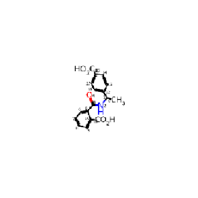 CC(NC(=O)c1ccccc1C(=O)O)c1ccc(C(=O)O)cc1